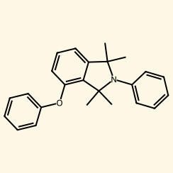 CC1(C)c2cccc(Oc3ccccc3)c2C(C)(C)N1c1ccccc1